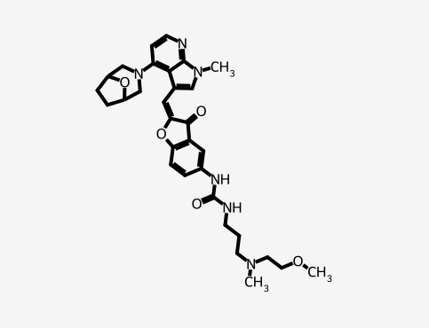 COCCN(C)CCCNC(=O)Nc1ccc2c(c1)C(=O)C(=Cc1cn(C)c3nccc(N4CC5CCC(C4)O5)c13)O2